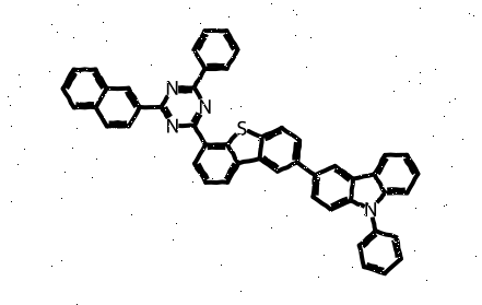 c1ccc(-c2nc(-c3ccc4ccccc4c3)nc(-c3cccc4c3sc3ccc(-c5ccc6c(c5)c5ccccc5n6-c5ccccc5)cc34)n2)cc1